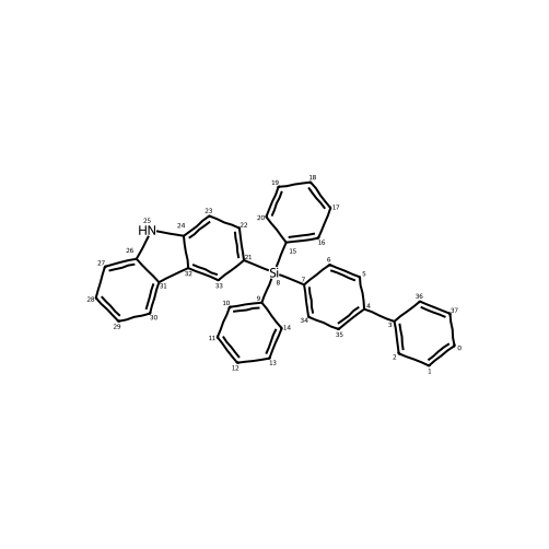 c1ccc(-c2ccc([Si](c3ccccc3)(c3ccccc3)c3ccc4[nH]c5ccccc5c4c3)cc2)cc1